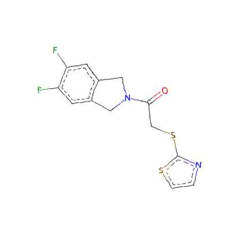 O=C(CSc1nccs1)N1Cc2cc(F)c(F)cc2C1